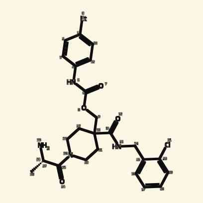 CCc1ccc(NC(=O)OCC2(C(=O)NCc3ccccc3Cl)CCN(C(=O)[C@H](C)N)CC2)cc1